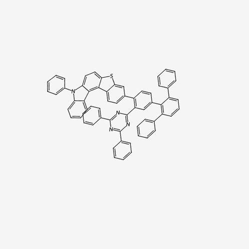 c1ccc(-c2nc(-c3ccccc3)nc(-c3cc(-c4c(-c5ccccc5)cccc4-c4ccccc4)ccc3-c3ccc4c(c3)sc3ccc5c(c6ccccc6n5-c5ccccc5)c34)n2)cc1